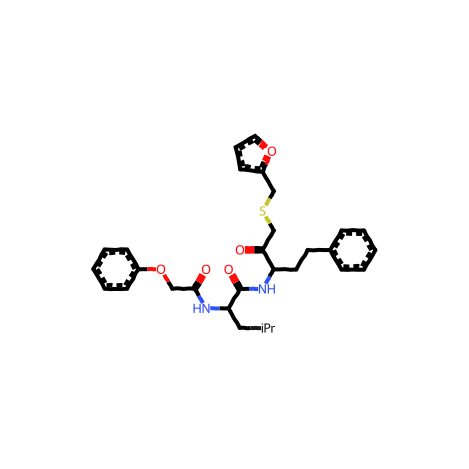 CC(C)CC(NC(=O)COc1ccccc1)C(=O)NC(CCc1ccccc1)C(=O)CSCc1ccco1